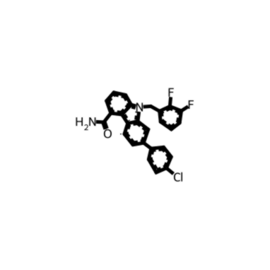 NC(=O)c1cccc2c1c1[c]cc(-c3ccc(Cl)cc3)cc1n2Cc1cccc(F)c1F